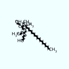 CCCCCCCCCCCCCCCCCC(CC)N(CC(OCC)OCCO)CC(OCC)OCCO